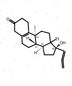 C=C=C[C@]1(O)CC[C@H]2[C@@H]3CCC4=C(CCC(=O)C4)[C@@]3(C)CCC21CC